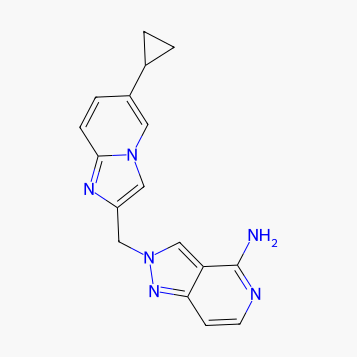 Nc1nccc2nn(Cc3cn4cc(C5CC5)ccc4n3)cc12